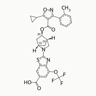 Cc1ccccc1-c1noc(C2CC2)c1C(=O)O[C@@H]1C[C@@H]2C[C@H]1CN2c1nc2c(OC(F)(F)F)cc(C(=O)O)cc2s1